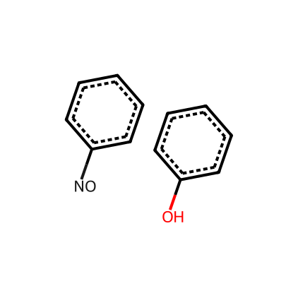 O=Nc1ccccc1.Oc1ccccc1